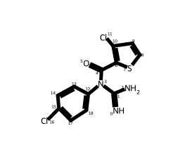 N=C(N)N(C(=O)c1sccc1Cl)c1ccc(Cl)cc1